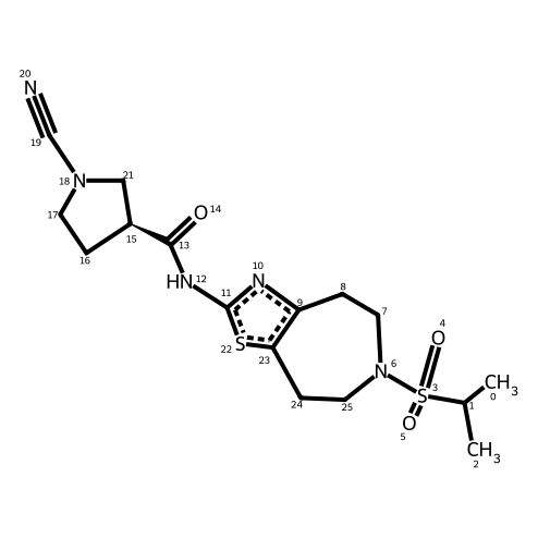 CC(C)S(=O)(=O)N1CCc2nc(NC(=O)[C@H]3CCN(C#N)C3)sc2CC1